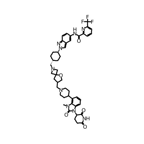 Cn1c(=O)n(C2CCC(=O)NC2=O)c2cccc(C3CCN(CC4COC5(C4)CN(C[C@H]4CC[C@H](n6cc7cc(NC(=O)c8cccc(C(F)(F)F)n8)ccc7n6)CC4)C5)CC3)c21